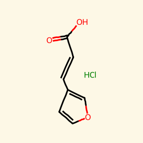 Cl.O=C(O)C=Cc1ccoc1